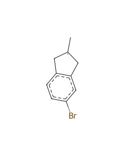 C[C]1Cc2ccc(Br)cc2C1